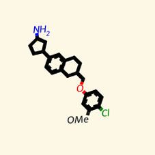 COc1cc(OCC2CCc3cc(C4CCC(N)C4)ccc3C2)ccc1Cl